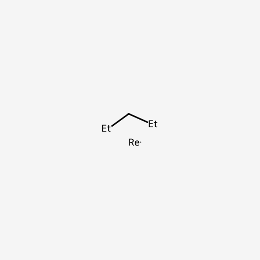 CCCCC.[Re]